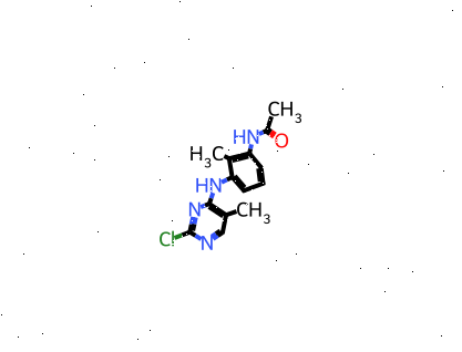 CC(=O)Nc1cccc(Nc2nc(Cl)ncc2C)c1C